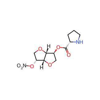 O=C(O[C@H]1CO[C@H]2[C@@H]1OC[C@H]2O[N+](=O)[O-])[C@@H]1CCCN1